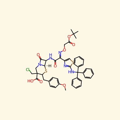 COc1ccc(CC2S[C@@H]3C(NC(=O)C(=NOCC(=O)OC(C)(C)C)c4csc(NC(c5ccccc5)(c5ccccc5)c5ccccc5)n4)C(=O)N3CC2(CCl)C(=O)O)cc1